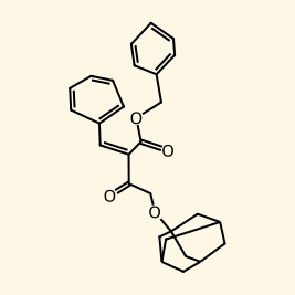 O=C(COC12CC3CC(CC(C3)C1)C2)C(=Cc1ccccc1)C(=O)OCc1ccccc1